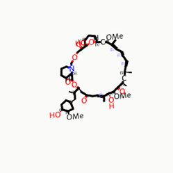 CO[C@H]1C[C@@H]2CC[C@@H](C)[C@@](O)(O2)C(=O)COCN2CCCC[C@H]2C(=O)O[C@H]([C@H](C)C[C@@H]2CC[C@@H](O)[C@H](OC)C2)CC(=O)C/C=C(\C)[C@@H](O)[C@@H](OC)C(=O)[C@H](C)C[C@H](C)/C=C/C=C/C=C/1C